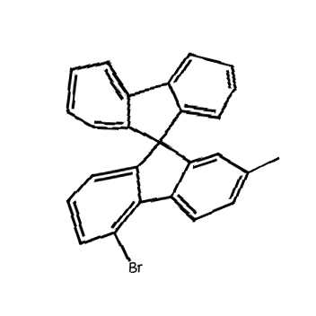 Cc1ccc2c(c1)C1(c3ccccc3-c3ccccc31)c1cccc(Br)c1-2